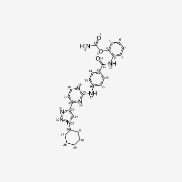 NC(=O)Oc1ccccc1NC(=O)c1ccc(Nc2nccc(-c3cn(C4CCCCC4)nn3)n2)cc1